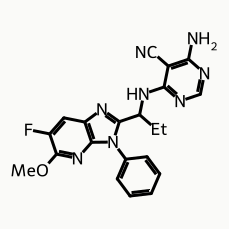 CCC(Nc1ncnc(N)c1C#N)c1nc2cc(F)c(OC)nc2n1-c1ccccc1